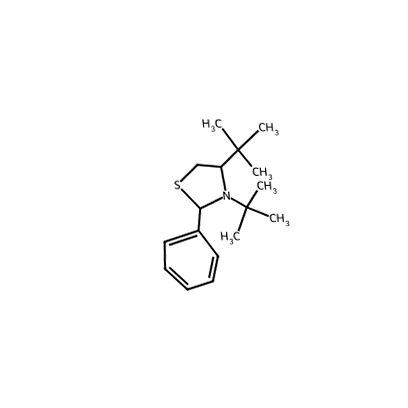 CC(C)(C)C1CSC(c2ccccc2)N1C(C)(C)C